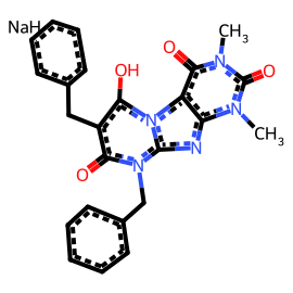 Cn1c(=O)c2c(nc3n(Cc4ccccc4)c(=O)c(Cc4ccccc4)c(O)n23)n(C)c1=O.[NaH]